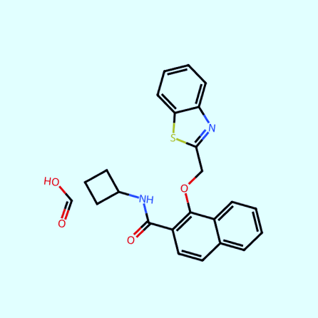 O=C(NC1CCC1)c1ccc2ccccc2c1OCc1nc2ccccc2s1.O=CO